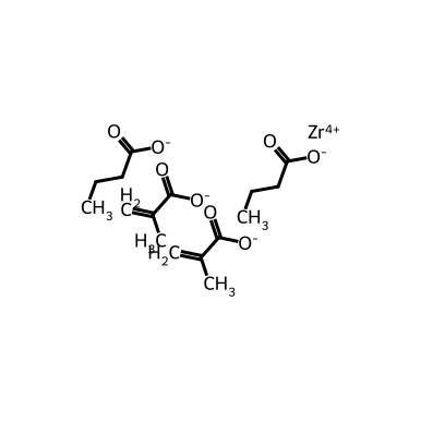 C=C(C)C(=O)[O-].C=C(C)C(=O)[O-].CCCC(=O)[O-].CCCC(=O)[O-].[Zr+4]